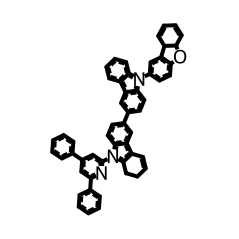 C1=CC2Oc3ccc(-n4c5ccccc5c5cc(-c6ccc7c(c6)c6c(n7-c7cc(-c8ccccc8)cc(-c8ccccc8)n7)CCC=C6)ccc54)cc3C2C=C1